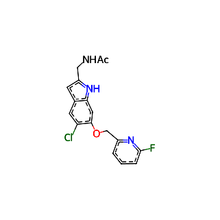 CC(=O)NCc1cc2cc(Cl)c(OCc3cccc(F)n3)cc2[nH]1